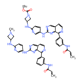 C=CC(=O)Nc1cccc(-c2nccc3cnc(Nc4ccc(NC5CN(C(=O)OC(C)(C)C)C5)nc4)nc23)c1.C=CC(=O)Nc1cccc(-c2nccc3cnc(Nc4ccc(NC5CN(C)C5)nc4)nc23)c1